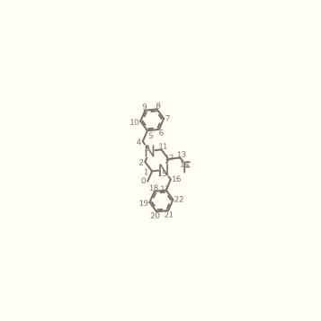 CC1CN(Cc2ccccc2)CC(CF)N1Cc1ccccc1